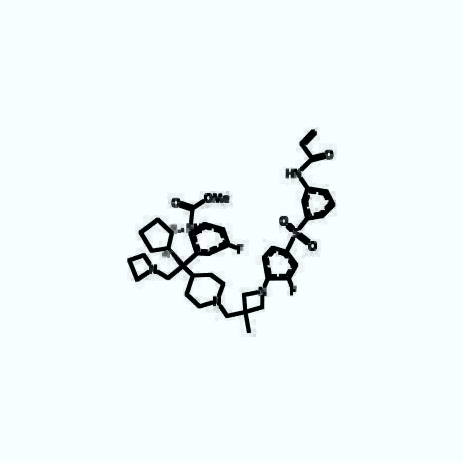 C=CC(=O)Nc1cccc(S(=O)(=O)c2ccc(N3CC(C)(CN4CCC(C(CN5CCC5)(c5cccc(F)c5)[C@H]5CCC[C@@H]5NC(=O)OC)CC4)C3)c(F)c2)c1